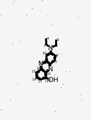 CCN(CC)c1ccc2nc3c(O)cccc3nc2c1